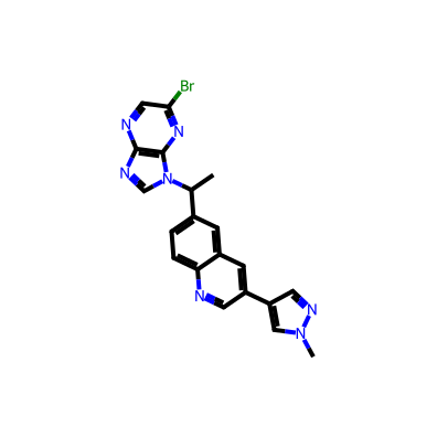 CC(c1ccc2ncc(-c3cnn(C)c3)cc2c1)n1cnc2ncc(Br)nc21